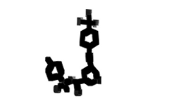 Cc1ccc(S(C)(=O)=NC(=O)c2cncc(C#Cc3ccc(C(F)(F)F)cc3)c2)cc1